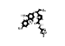 Cc1cc(SC(CC(C)(C)C)c2ccc(C(=O)NCc3nn[nH]n3)s2)cc(C)c1-c1ccc(C(C)(C)C)cc1